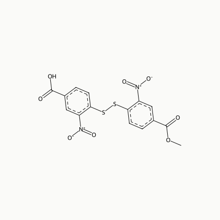 COC(=O)c1ccc(SSc2ccc(C(=O)O)cc2[N+](=O)[O-])c([N+](=O)[O-])c1